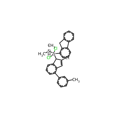 CCC1=Cc2c(-c3cccc(C)c3)cccc2[CH]1[Zr]([Cl])([Cl])([c]1cccc2c1Cc1ccccc1-2)[SiH](C)C